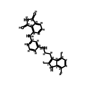 Cc1[nH]c2c(F)ccc(C)c2c1CCNc1cc(Nc2cccc3c2C(=O)NC3=O)ncn1